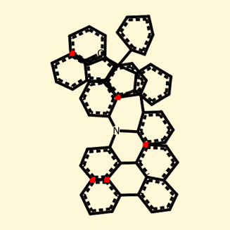 c1ccc(-c2cccc3cccc(-c4ccccc4N(c4ccccc4-c4ccc5oc6ccccc6c5c4)c4cccc5c4-c4ccccc4C5(c4ccccc4)c4ccccc4)c23)cc1